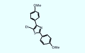 CCc1sc(-c2ccc(OC)cc2)nc1-c1ccc(OC)cc1